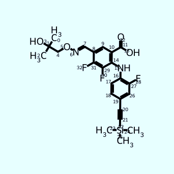 CC(C)(O)CO/N=C/c1cc(C(=O)O)c(Nc2ccc(C#C[Si](C)(C)C)cc2F)c(F)c1F